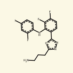 NCCCc1nnc(-c2ccc(F)c(F)c2Nc2ccc(I)cc2F)o1